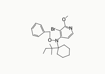 CCC(C)(C)C1(N(OCc2ccccc2)c2ccnc(OC)c2Br)CCCCC1